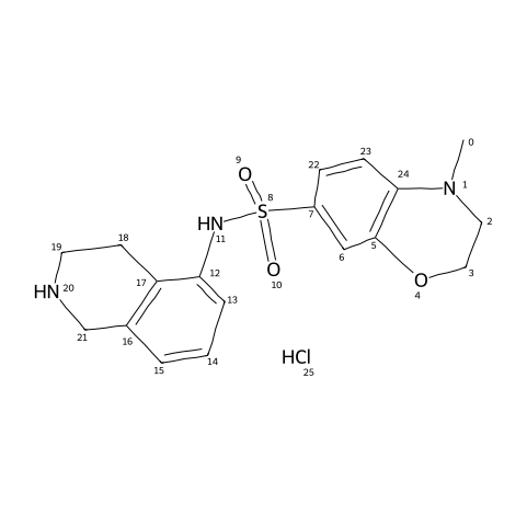 CN1CCOc2cc(S(=O)(=O)Nc3cccc4c3CCNC4)ccc21.Cl